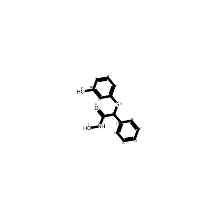 O=C(NO)C(Sc1cccc(O)c1)c1ccccc1